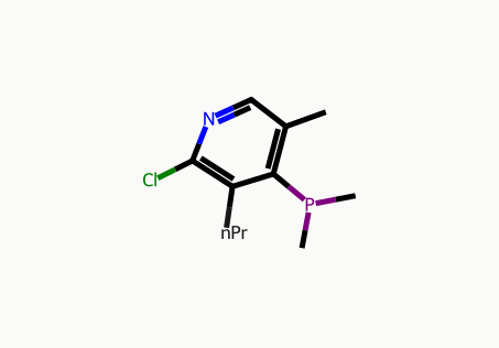 CCCc1c(Cl)ncc(C)c1P(C)C